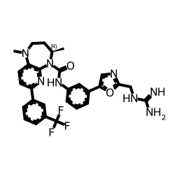 C[C@@H]1CCN(C)c2ccc(-c3cccc(C(F)(F)F)c3)nc2N1C(=O)Nc1cccc(-c2cnc(CNC(=N)N)o2)c1